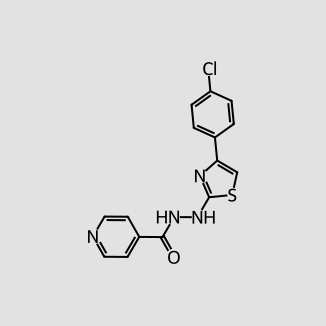 O=C(NNc1nc(-c2ccc(Cl)cc2)cs1)c1ccncc1